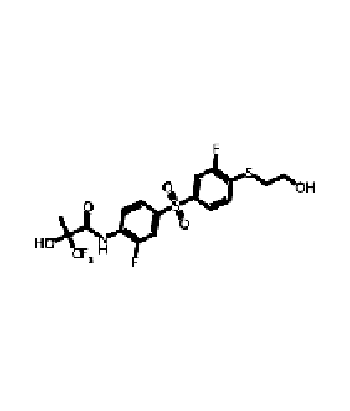 CC(O)(C(=O)Nc1ccc(S(=O)(=O)c2ccc(SCCO)c(F)c2)cc1F)C(F)(F)F